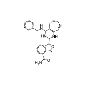 NC(=O)c1cccc2c(C3NC4=C(CC=CN=C4)C(NCc4ccccc4)N3)onc12